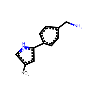 NCc1ccc(-c2cc([N+](=O)[O-])c[nH]2)cc1